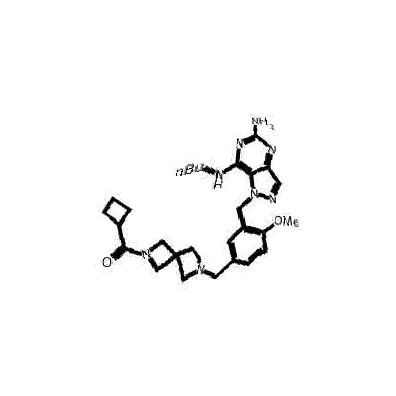 CCCCNc1nc(N)nc2cnn(Cc3cc(CN4CC5(C4)CN(C(=O)C4CCC4)C5)ccc3OC)c12